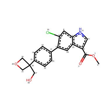 COC(=O)c1c[nH]c2cc(Cl)c(-c3ccc(C4(CO)COC4)cc3)cc12